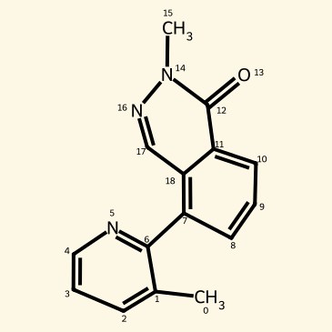 Cc1cccnc1-c1cccc2c(=O)n(C)ncc12